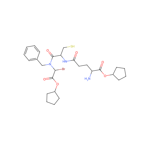 NC(CCC(=O)NC(CS)C(=O)N(Cc1ccccc1)C(Br)C(=O)OC1CCCC1)C(=O)OC1CCCC1